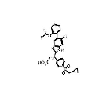 O=C(O)C[C@@H](c1ccc(S(=O)(=O)CC2CC2)cc1)c1nc2cc(-c3ccccc3OC(F)F)c(Cl)cc2[nH]1